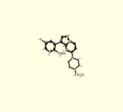 CCOC(=O)N1CCN(c2ccn3ncc(-c4cc(F)cnc4OC)c3n2)CC1